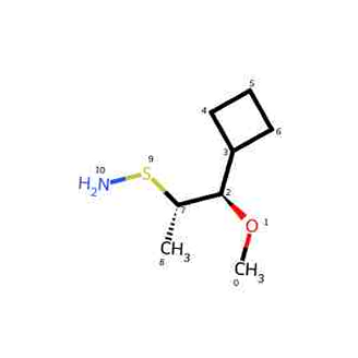 CO[C@H](C1CCC1)[C@H](C)SN